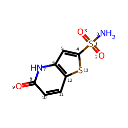 NS(=O)(=O)c1cc2[nH]c(=O)ccc2s1